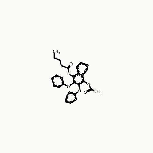 CCCCC(=O)Oc1c(Oc2ccccc2)c(Oc2ccccc2)c(OC(C)=O)c2ccccc12